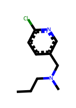 CCCN(C)Cc1ccc(Cl)nc1